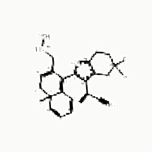 C=C(C#N)c1c(C2=C3C=CC=CC3(C)CC=C2CNS)sc2c1CC(C)(C)CC2